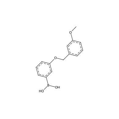 COc1cccc(COc2cccc(B(O)O)c2)c1